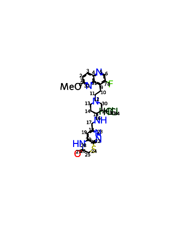 COc1ccc2ncc(F)c(CCN3CCC(NCc4cc5c(nn4)SCC(=O)N5)CC3)c2n1.Cl.Cl